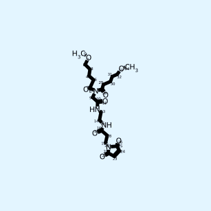 COCCCCC(=O)N(CC(=O)NCCNC(=O)CCN1C(=O)C=CC1=O)C(=O)CCCCOC